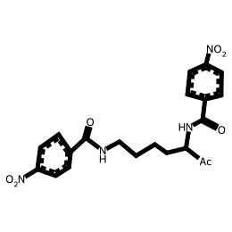 CC(=O)C(CCCCNC(=O)c1ccc([N+](=O)[O-])cc1)NC(=O)c1ccc([N+](=O)[O-])cc1